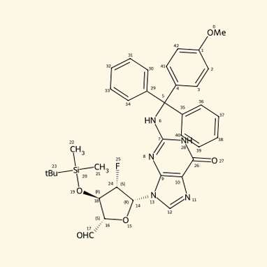 COc1ccc(C(Nc2nc3c(ncn3[C@@H]3O[C@H](C=O)[C@@H](O[Si](C)(C)C(C)(C)C)[C@@H]3F)c(=O)[nH]2)(c2ccccc2)c2ccccc2)cc1